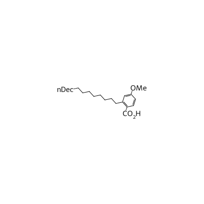 CCCCCCCCCCCCCCCCCCc1cc(OC)ccc1C(=O)O